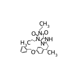 CCCn1c(=O)c2[nH]c(CC(C)c3ccc(OCc4ccccc4)cc3)nc2n(CCC)c1=O